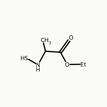 CCOC(=O)C(C)NS